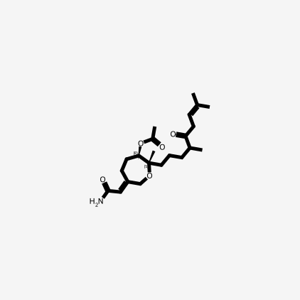 CC(=O)O[C@@H]1CCC(=CC(N)=O)CO[C@@]1(C)CCCC(C)C(=O)CC=C(C)C